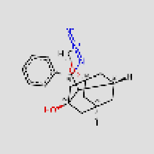 CO[C@@]12C[C@H]3C[C@@H](C1)C([C@@H](N=[N+]=[N-])c1ccccc1)[C@](O)(C3)C2